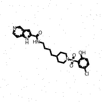 O=C(NCCCCC1CCN(S(=O)(=O)c2cc(Cl)ccc2O)CC1)c1cc2cnccc2[nH]1